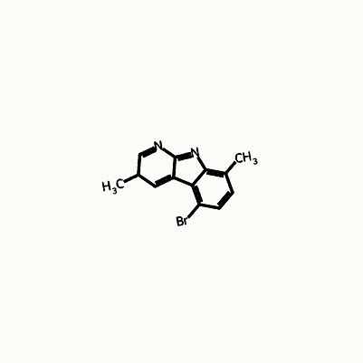 Cc1ccc(Br)c2c1N=C1N=CC(C)C=C12